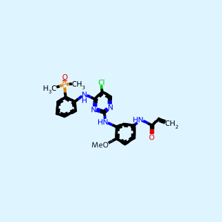 C=CC(=O)Nc1ccc(OC)c(Nc2ncc(Cl)c(Nc3ccccc3P(C)(C)=O)n2)c1